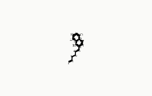 CCCCCCc1ccc2ccc[c]c2c1